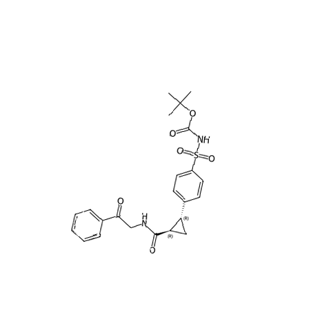 CC(C)(C)OC(=O)NS(=O)(=O)c1ccc([C@@H]2C[C@H]2C(=O)NCC(=O)c2ccccc2)cc1